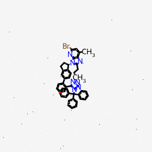 CCCc1nc2c(C)cc(Br)nc2n1[C@H]1CCc2cc(-c3ccccc3-c3nnnn3C(c3ccccc3)(c3ccccc3)c3ccccc3)ccc21